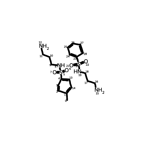 Cc1ccc(S(=O)(=O)NCCCN)cc1.NCCCNS(=O)(=O)c1ccccc1